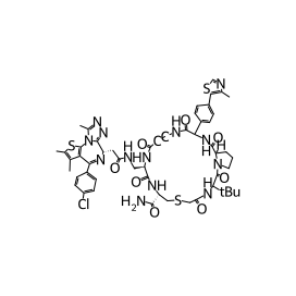 Cc1ncsc1-c1ccc(C2NC(=O)[C@@H]3CCCN3C(=O)C(C(C)(C)C)NC(=O)CSC[C@H](C(N)=O)NC(=O)[C@@H](CNC(=O)C[C@@H]3N=C(c4ccc(Cl)cc4)c4c(sc(C)c4C)-n4c(C)nnc43)NC(=O)CCNC2=O)cc1